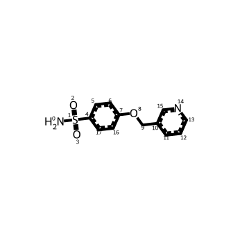 NS(=O)(=O)c1ccc(OCc2cccnc2)cc1